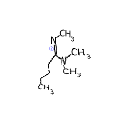 CCCC/C(=N/C)N(C)C